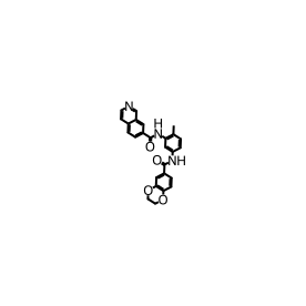 Cc1ccc(NC(=O)c2ccc3c(c2)OCCO3)cc1NC(=O)c1ccc2ccncc2c1